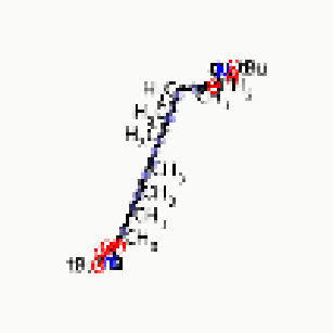 C=C(OC/C(C)=C/CC/C(C)=C/C=C/C(C)=C/C=C/C(C)=C/C=C/C=C(C)/C=C/C=C(C)/C=C/C=C(\C)CC/C=C(\C)COC(=O)C1CCCN1C(=O)OC(C)(C)C)C1CCCN1C(=O)OC(C)(C)C